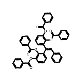 O=C(Oc1cccc(C(=Cc2ccccc2)c2cccc(OC(=O)c3ccccc3)c2OC(=O)c2ccccc2)c1OC(=O)c1ccccc1)c1ccccc1